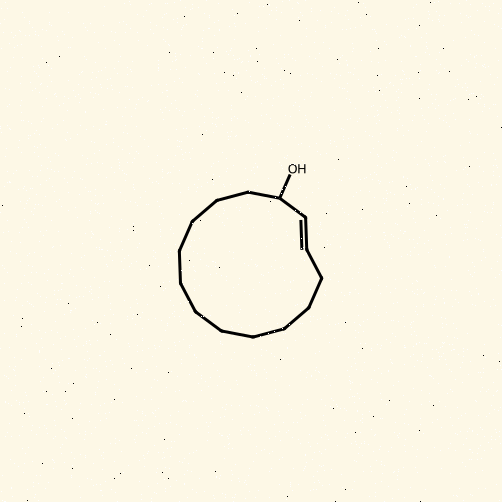 OC1/C=C/CCCCCCCCCCC1